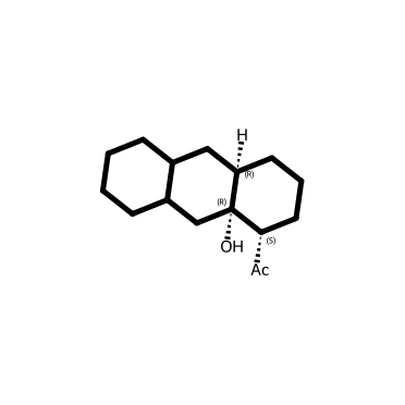 CC(=O)[C@H]1CCC[C@@H]2CC3CCCCC3C[C@@]21O